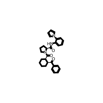 O=C(c1ccccc1)[C@H]1CCCC[C@H]1C(=O)N1CCC[C@H]1C(=O)Nc1ccccc1-n1cccc1